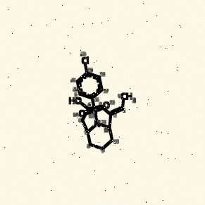 C/C=C1\CC(O)CC2CCCC1N2S(=O)(=O)c1ccc(Cl)cc1